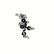 CNC(=O)Nc1ccc2c(c1)C(=O)/C(=C/c1c(C3=CCNCC3)n(CCN3CCN(C)CC3)c3ccc(OC)cc13)O2